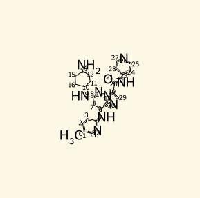 Cc1ccc(Nc2cc(N[C@H]3CC[C@H](N)CC3)nn3c(C(=O)Nc4ccncc4)cnc23)nc1